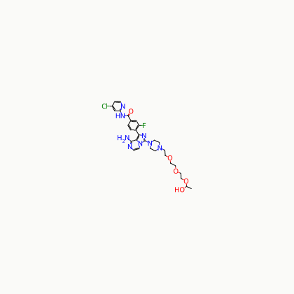 CC(O)OCCOCCOCCN1CCN(c2nc(-c3ccc(C(=O)Nc4cc(Cl)ccn4)cc3F)c3c(N)nccn23)CC1